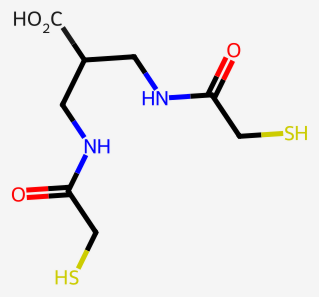 O=C(CS)NCC(CNC(=O)CS)C(=O)O